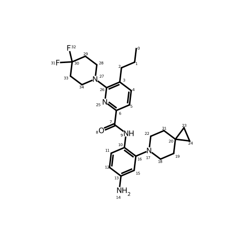 CCCc1ccc(C(=O)Nc2ccc(N)cc2N2CCC3(CC2)CC3)nc1N1CCC(F)(F)CC1